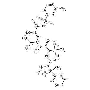 CN[C@H](C(=O)N[C@H](C(=O)N(C)[C@H](C=C(C)C(=O)NS(=O)(=O)c1cccc(N)c1)C(C)C)C(C)(C)C)C(C)(C)c1ccccc1